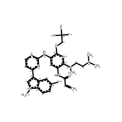 C=CC(=O)Nc1cc(Nc2nccc(-c3cn(C)c4ccc(F)cc34)n2)c(OCC(F)(F)F)nc1N(C)CCN(C)C